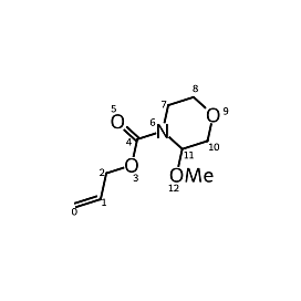 C=CCOC(=O)N1CCOCC1OC